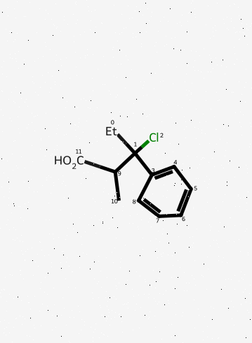 CCC(Cl)(c1ccccc1)C(C)C(=O)O